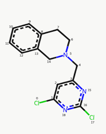 Clc1cc(CN2CCc3ccccc3C2)nc(Cl)n1